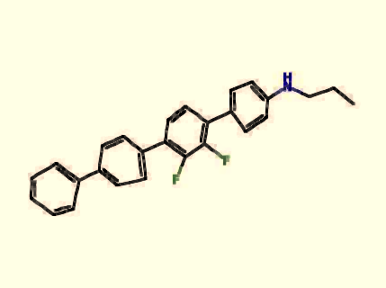 CCCNc1ccc(-c2ccc(-c3ccc(-c4ccccc4)cc3)c(F)c2F)cc1